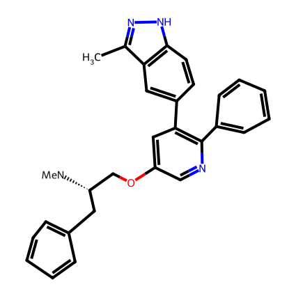 CN[C@H](COc1cnc(-c2ccccc2)c(-c2ccc3[nH]nc(C)c3c2)c1)Cc1ccccc1